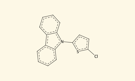 Clc1ccc(-n2c3ccccc3c3ccccc32)s1